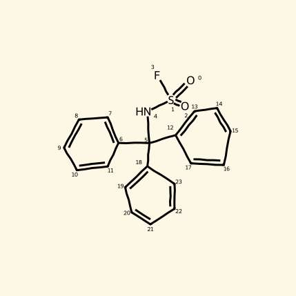 O=S(=O)(F)NC(c1ccccc1)(c1ccccc1)c1ccccc1